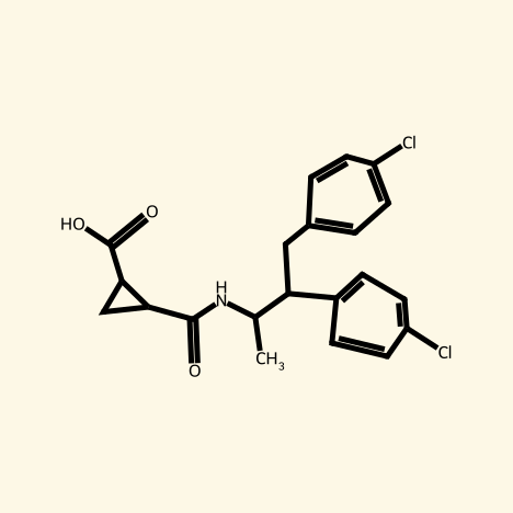 CC(NC(=O)C1CC1C(=O)O)C(Cc1ccc(Cl)cc1)c1ccc(Cl)cc1